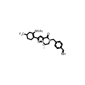 CC(=O)NC1=C(c2cc3n(n2)[C@@H](C)CN(Cc2ccc(C=N)cc2)C3=O)CCC(C(F)(F)F)C1